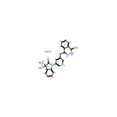 C[C@@]1(O)C(=O)N(c2cncc(Cc3n[nH]c(=O)c4ccccc34)c2)c2ccccc21.Cl